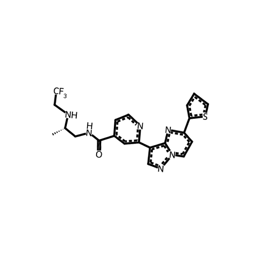 C[C@@H](CNC(=O)c1ccnc(-c2cnn3ccc(-c4cccs4)nc23)c1)NCC(F)(F)F